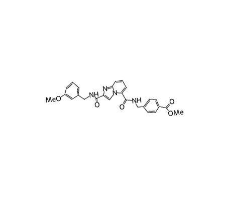 COC(=O)c1ccc(CNC(=O)c2cccc3nc(C(=O)NCc4cccc(OC)c4)cn23)cc1